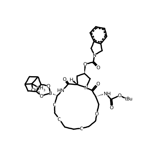 CC(C)(C)OC(=O)N[C@@H]1COCCCCCCCC[C@H](B2OC3CC4CC(C3O2)C4(C)C)NC(=O)[C@@H]2C[C@@H](OC(=O)N3Cc4ccccc4C3)CN2C1=O